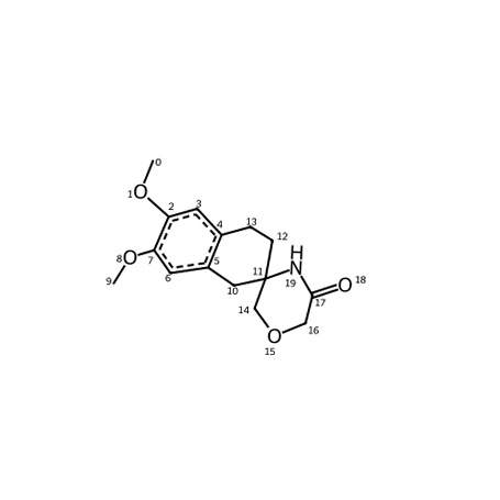 COc1cc2c(cc1OC)CC1(CC2)COCC(=O)N1